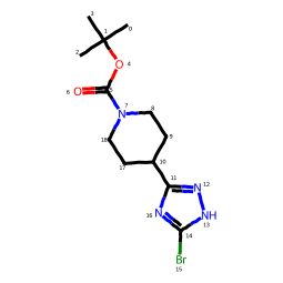 CC(C)(C)OC(=O)N1CCC(c2n[nH]c(Br)n2)CC1